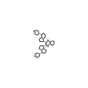 c1ccc2nc(-c3cccc4c(-c5ccncc5)cccc34)c(-c3cccc4c(-c5ccncc5)cccc34)nc2c1